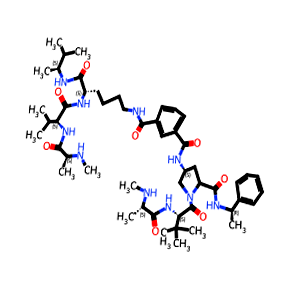 CN[C@@H](C)C(=O)N[C@H](C(=O)N[C@@H](CCCCNC(=O)c1cccc(C(=O)N[C@H]2CC(C(=O)N[C@H](C)c3ccccc3)N(C(=O)[C@@H](NC(=O)[C@H](C)NC)C(C)(C)C)C2)c1)C(=O)N[C@@H](C)C(C)C)C(C)C